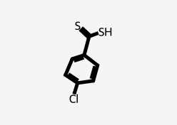 S=C(S)c1ccc(Cl)cc1